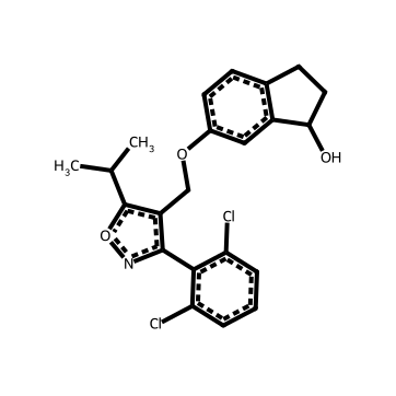 CC(C)c1onc(-c2c(Cl)cccc2Cl)c1COc1ccc2c(c1)C(O)CC2